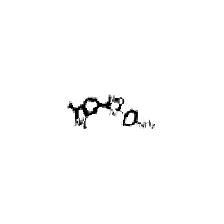 Cc1nn(C)c2cc(-c3noc([C@H]4CC[C@H](N)CC4)n3)ccc12